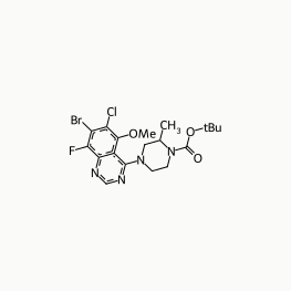 COc1c(Cl)c(Br)c(F)c2ncnc(N3CCN(C(=O)OC(C)(C)C)C(C)C3)c12